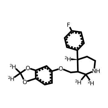 [2H]C1([2H])Oc2ccc(OCC3C([2H])([2H])NCC[C@@]3([2H])c3ccc(F)cc3)cc2O1